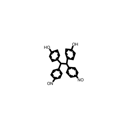 O=Nc1ccc(C(c2ccc(O)cc2)C(c2ccc(O)cc2)c2ccc(N=O)cc2)cc1